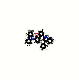 c1ccc(-c2cc(-c3cccc4oc5c(-n6c7ccccc7c7ccccc76)cccc5c34)nc3ccccc23)cc1